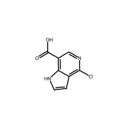 O=C(O)c1cnc(Cl)c2cc[nH]c12